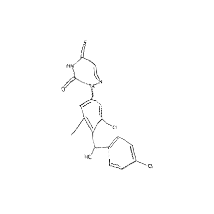 Cc1cc(-n2ncc(=S)[nH]c2=O)cc(Cl)c1C(C#N)c1ccc(Cl)cc1